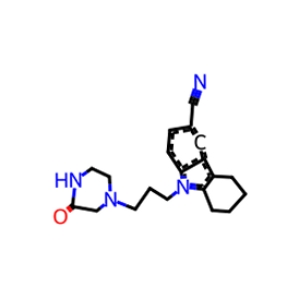 N#Cc1ccc2c(c1)c1c(n2CCCN2CCNC(=O)C2)CCCC1